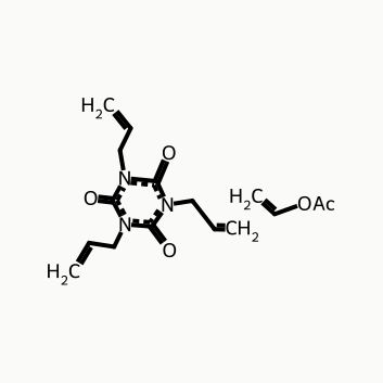 C=CCn1c(=O)n(CC=C)c(=O)n(CC=C)c1=O.C=COC(C)=O